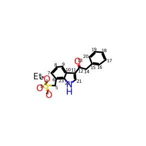 CCOS(=O)(=O)Cc1cccc2c(C(=O)Cc3ccccc3)c[nH]c12